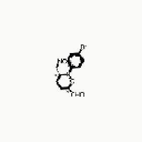 O=C[C@H]1CC[C@H](C[N+](=O)[O-])N(c2ccc(Br)cc2)O1